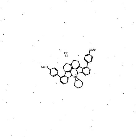 COc1ccc(-c2cccc3c2C=C(C2CCCCC2)[CH]3[Hf+2]2([CH]3C(C4CCCCC4)=Cc4c(-c5ccc(OC)cc5)cccc43)[CH]3CCCC[CH]32)cc1.[Cl-].[Cl-]